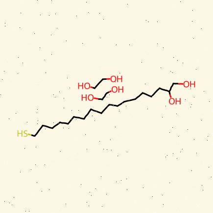 OCC(O)CCCCCCCCCCCCCCCCS.OCCO.OCCO